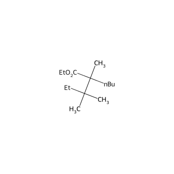 CCCCC(C)(C(=O)OCC)C(C)(C)CC